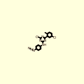 Cc1ccc(Cl)cc1-c1nc(Cl)nc(Nc2ccc(N=[N+]=[N-])cc2)n1